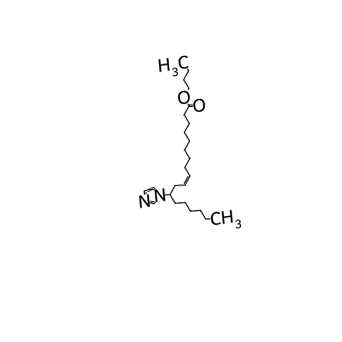 CCCCCCC(C/C=C\CCCCCCCC(=O)OCCCC)n1ccnc1